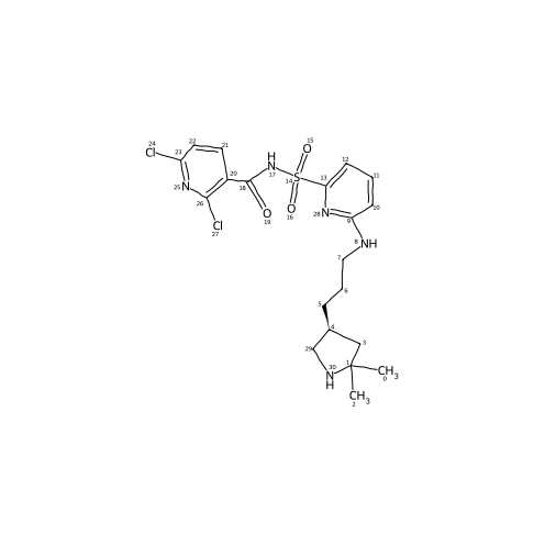 CC1(C)C[C@H](CCCNc2cccc(S(=O)(=O)NC(=O)c3ccc(Cl)nc3Cl)n2)CN1